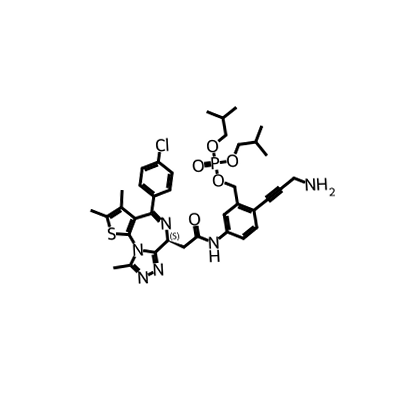 Cc1sc2c(c1C)C(c1ccc(Cl)cc1)=N[C@@H](CC(=O)Nc1ccc(C#CCN)c(COP(=O)(OCC(C)C)OCC(C)C)c1)c1nnc(C)n1-2